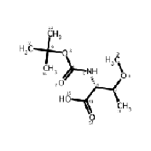 CO[C@@H](C)[C@@H](NC(=O)OC(C)(C)C)C(=O)O